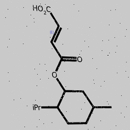 CC1CCC(C(C)C)C(OC(=O)/C=C/C(=O)O)C1